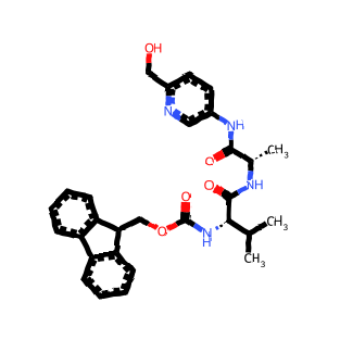 CC(C)[C@H](NC(=O)OCC1c2ccccc2-c2ccccc21)C(=O)N[C@@H](C)C(=O)Nc1ccc(CO)nc1